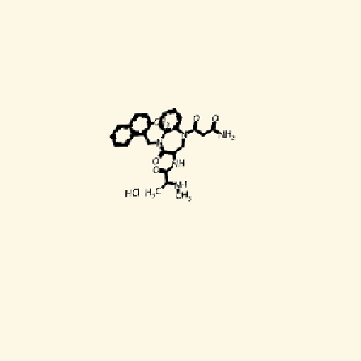 CNC(C)C(=O)NC1CN(C(=O)CC(N)=O)c2ccccc2N(Cc2c(C)ccc3ccccc23)C1=O.Cl